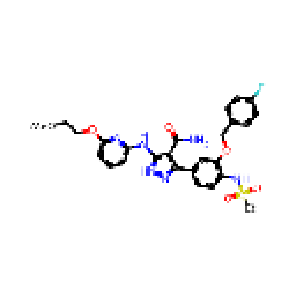 CCS(=O)(=O)Nc1ccc(-c2n[nH]c(Nc3cccc(OCCOC)n3)c2C(N)=O)cc1OCc1ccc(F)cc1